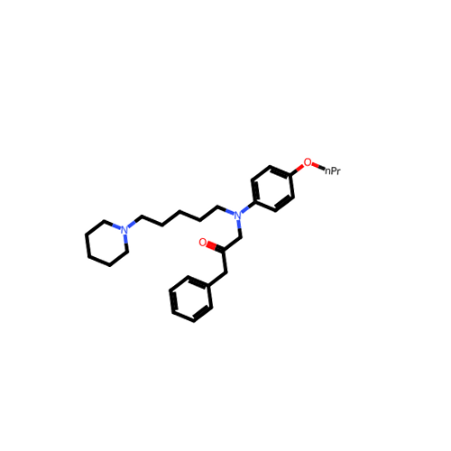 CCCOc1ccc(N(CCCCCN2CCCCC2)CC(=O)Cc2ccccc2)cc1